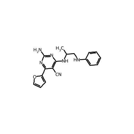 CC(CNc1ccccc1)Nc1nc(N)nc(-c2ccco2)c1C#N